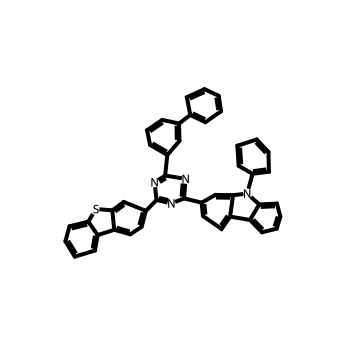 c1ccc(-c2cccc(-c3nc(-c4ccc5c(c4)sc4ccccc45)nc(-c4ccc5c6ccccc6n(-c6ccccc6)c5c4)n3)c2)cc1